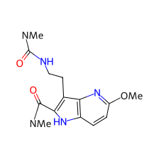 CNC(=O)NCCc1c(C(=O)NC)[nH]c2ccc(OC)nc12